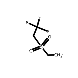 [CH2]CS(=O)(=O)CC(F)(F)F